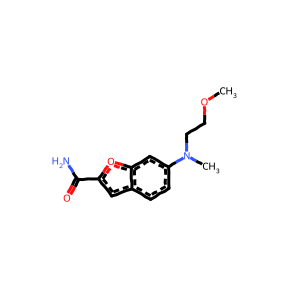 COCCN(C)c1ccc2cc(C(N)=O)oc2c1